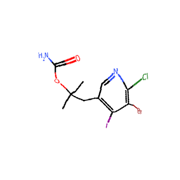 CC(C)(Cc1cnc(Cl)c(Br)c1I)OC(N)=O